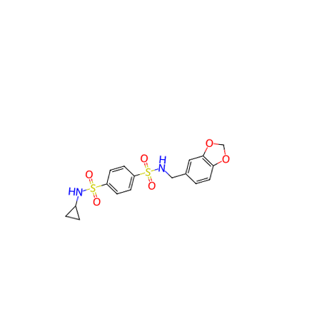 O=S(=O)(NCc1ccc2c(c1)OCO2)c1ccc(S(=O)(=O)NC2CC2)cc1